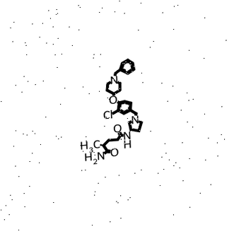 C[C@@H](C[CH]C(=O)N[C@H]1CCN(Cc2ccc(OC3CCN(Cc4ccccc4)CC3)c(Cl)c2)C1)C(N)=O